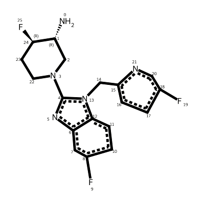 N[C@@H]1CN(c2nc3cc(F)ccc3n2Cc2ccc(F)cn2)CC[C@H]1F